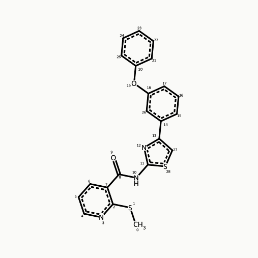 CSc1ncccc1C(=O)Nc1nc(-c2cccc(Oc3ccccc3)c2)cs1